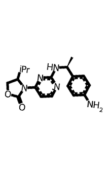 CC(C)C1COC(=O)N1c1ccnc(N[C@@H](C)c2ccc(N)cc2)n1